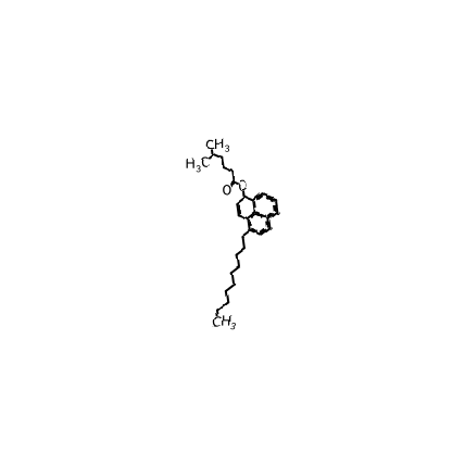 CCCCCCCCCCc1ccc2cccc3c2c1C=CC3OC(=O)CCCC(C)C